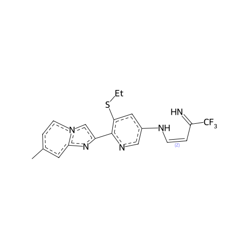 CCSc1cc(N/C=C\C(=N)C(F)(F)F)cnc1-c1cn2ccc(C)cc2n1